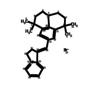 CC1(C)CCN2CCC(C)(C)c3cc(C=C4CC[n+]5ccccc54)cc1c32.[Br-]